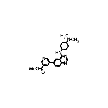 COC(=O)c1cncc(-c2ccc3ncnc(NC4CCC(N(C)C)CC4)c3c2)c1